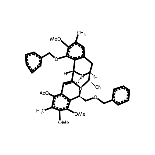 COc1c(C)cc2c(c1OCc1ccccc1)[C@H]1C3=Cc4c(OC(C)=O)c(C)c(OC)c(OC)c4[C@H](COCc4ccccc4)N3[C@@H](C#N)[C@H](C2)N1C